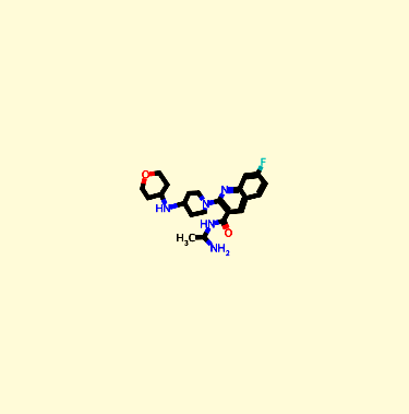 CC(N)NC(=O)c1cc2ccc(F)cc2nc1N1CCC(NC2CCOCC2)CC1